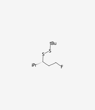 CC(C)[C@@H](CCF)SSC(C)(C)C